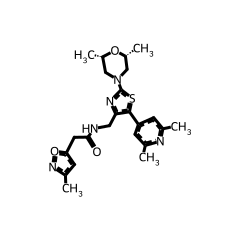 Cc1cc(CC(=O)NCc2nc(N3C[C@@H](C)O[C@@H](C)C3)sc2-c2cc(C)nc(C)c2)on1